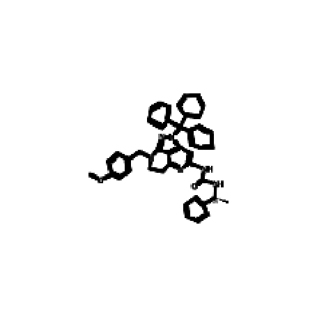 COc1ccc(CN2CCc3nc(NC(=O)N[C@H](C)c4ccccc4)cc4c3c2nn4C(c2ccccc2)(c2ccccc2)c2ccccc2)cc1